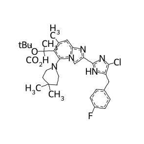 Cc1cc2nc(-c3nc(Cl)c(Cc4ccc(F)cc4)[nH]3)cn2c(N2CCC(C)(C)CC2)c1C(C)(OC(C)(C)C)C(=O)O